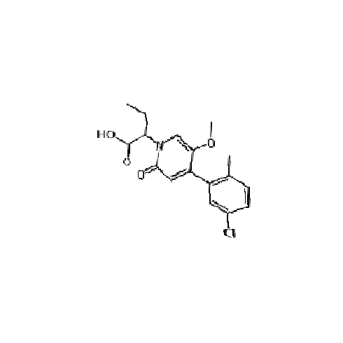 CCC(C(=O)O)n1cc(OC)c(-c2cc(Cl)ccc2C)cc1=O